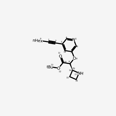 CCCCCCC#Cc1cncc(OC(C(=O)OC(C)(C)C)[C@@H]2CCN2)c1